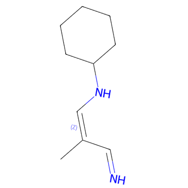 C/C(C=N)=C/NC1CCCCC1